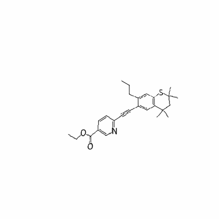 CCCc1cc2c(cc1C#Cc1ccc(C(=O)OCC)cn1)C(C)(C)CC(C)(C)S2